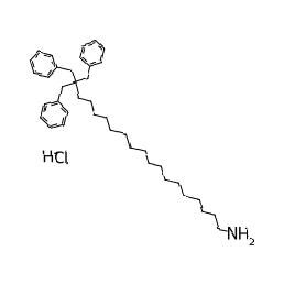 Cl.NCCCCCCCCCCCCCCCCCC(Cc1ccccc1)(Cc1ccccc1)Cc1ccccc1